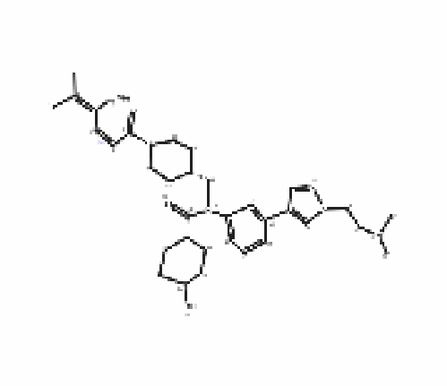 C=C(/C=C\C(OC)=C(C)C)[C@H]1CC[C@H](CN(c2cccc(-c3cnn(CCN(C)C)c3)c2)C(=O)[C@H]2CC[C@H](O)CC2)CC1